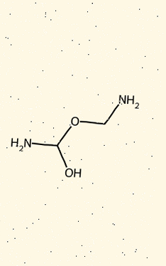 NCOC(N)O